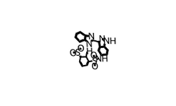 CC1C(S(=O)(=O)Nc2ccc3[nH]nc(-c4nc5ccccc5[nH]4)c3c2)=CC=CC1=S(=O)=O